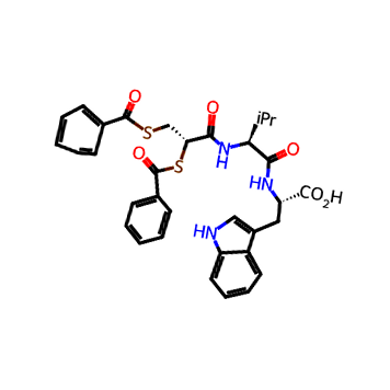 CC(C)[C@H](NC(=O)[C@@H](CSC(=O)c1ccccc1)SC(=O)c1ccccc1)C(=O)N[C@@H](Cc1c[nH]c2ccccc12)C(=O)O